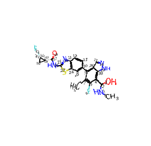 CNC(O)c1c(F)c(C)c(-c2ccc3nc(NC(=O)[C@@H]4C[C@@H]4F)sc3c2)c2cn[nH]c12